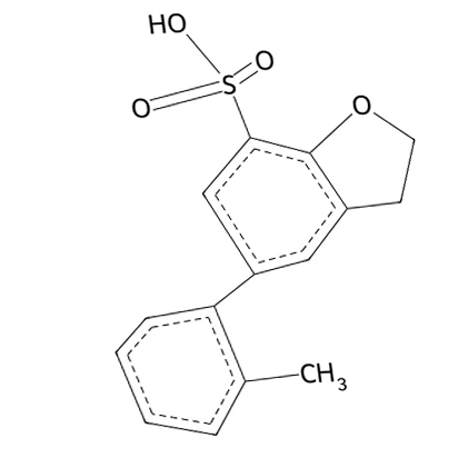 Cc1ccccc1-c1cc2c(c(S(=O)(=O)O)c1)OCC2